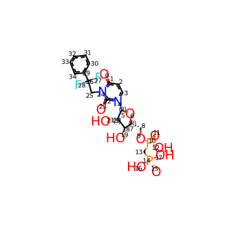 O=c1ccn([C@@H]2O[C@H](COP(=O)(O)CP(=O)(O)O)C(O)[C@@H]2O)c(=O)n1CC(F)(F)c1ccccc1